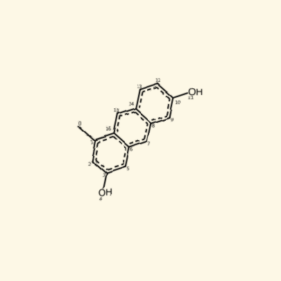 Cc1cc(O)cc2cc3cc(O)ccc3cc12